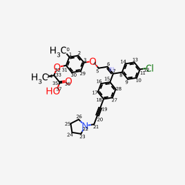 Cc1cc(OC/C=C(/c2ccc(Cl)cc2)c2ccc(C#CCN3CCCC3)cc2)ccc1OC(C)C(=O)O